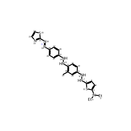 CCN(CC)c1ccc(NNc2ccc(NNc3ccc(/N=N/c4nccs4)cc3)c(C)c2)s1